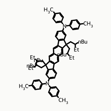 CCCCC(CC)CC1(CC(CC)CCCC)c2cc(N(c3ccc(C)cc3)c3ccc(C)cc3)ccc2-c2cc3cc4c(cc3cc21)-c1ccc(N(c2ccc(C)cc2)c2ccc(C)cc2)cc1C4(CC(CC)CCCC)CC(CC)CCCC